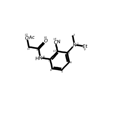 CCN(C)c1cccc(NC(=O)COC(C)=O)c1C#N